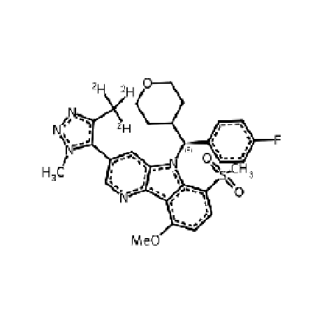 [2H]C([2H])([2H])c1nnn(C)c1-c1cnc2c3c(OC)ccc(S(C)(=O)=O)c3n([C@H](c3ccc(F)cc3)C3CCOCC3)c2c1